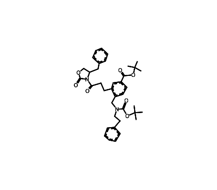 CC(C)(C)OC(=O)c1ccc(CN(CCc2ccccc2)C(=O)OC(C)(C)C)c(CCC(=O)N2C(=O)OCC2Cc2ccccc2)c1